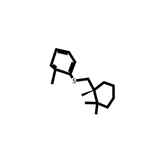 Cc1ccccc1SC[C@]1(C)CCCCC1(C)C